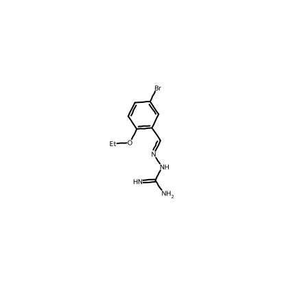 CCOc1ccc(Br)cc1/C=N/NC(=N)N